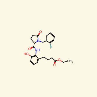 CCOC(=O)CCCc1cccc(O)c1NC(=O)[C@H]1CCC(=O)N1Cc1ccccc1F